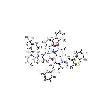 Cc1cc2c3c(c1)N(c1cccc4c1oc1ccccc14)c1cc(N4c5ccc(C(C)(C)C)cc5C5(C)CCCCC45C)ccc1B3c1cc(-c3ccccc3)ccc1N2c1ccc2sc3ccccc3c2c1